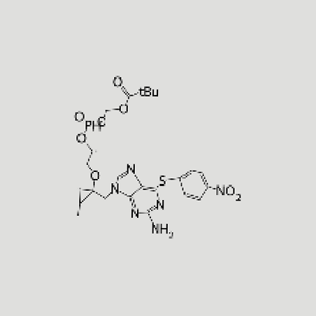 CC1CC1(Cn1cnc2c(Sc3ccc([N+](=O)[O-])cc3)nc(N)nc21)OC[CH]O[PH](=O)OCOC(=O)C(C)(C)C